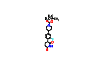 CC(C)(C)OC(=O)N1CCC(c2ccc(C3CCC(=O)NC3=O)c(F)c2)CC1